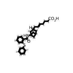 O=C(O)CCCC=CC[C@@H]1CC2CC(NC(=O)c3ccccc3Sc3ccccc3)(C2)C1